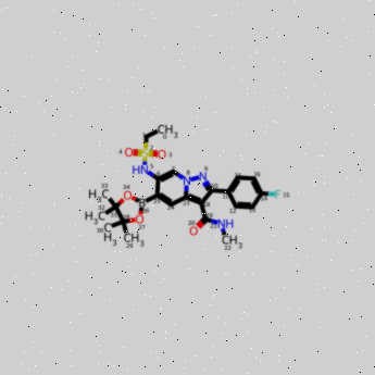 CCS(=O)(=O)Nc1cn2nc(-c3ccc(F)cc3)c(C(=O)NC)c2cc1B1OC(C)(C)C(C)(C)O1